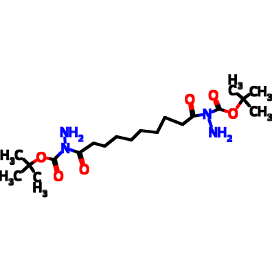 CC(C)(C)OC(=O)N(N)C(=O)CCCCCCCCC(=O)N(N)C(=O)OC(C)(C)C